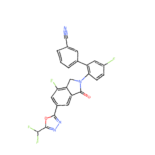 N#Cc1cccc(-c2cc(F)ccc2N2Cc3c(F)cc(-c4nnc(C(F)F)o4)cc3C2=O)c1